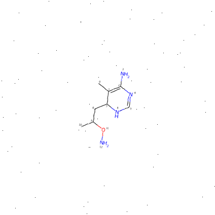 CC1=C(N)N=CNC1CC(C)ON